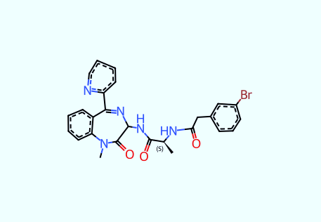 C[C@H](NC(=O)Cc1cccc(Br)c1)C(=O)NC1N=C(c2ccccn2)c2ccccc2N(C)C1=O